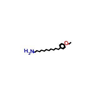 CCOc1ccc(CCCCCCCCCCCN)cc1